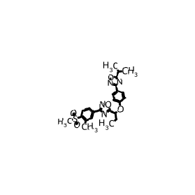 CCC(Oc1ccc(-c2noc(C(C)C)n2)cc1)c1nc(-c2ccc(S(C)(=O)=O)c(C)c2)no1